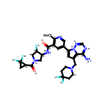 COc1ncc(-c2cc(CN3CCC(F)(F)CC3)c3c(N)ncnn23)cc1C(=O)NC1CN(C(=O)C2CC2(F)F)CC1F